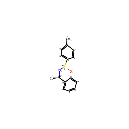 CC[C@@H](N[S@@+]([O-])c1ccc(C)cc1)c1ccccc1